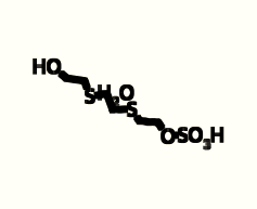 O.O=S(=O)(O)OCCSCCSCCO